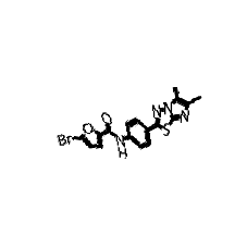 Cc1nc2sc(-c3ccc(NC(=O)c4ccc(Br)o4)cc3)nn2c1C